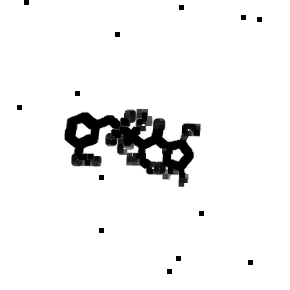 COc1cccc(CS(=O)(=O)C(C)(C)[C@H](NC(=O)O)C(=O)N2C[C@@H](F)C[C@H]2C#N)c1